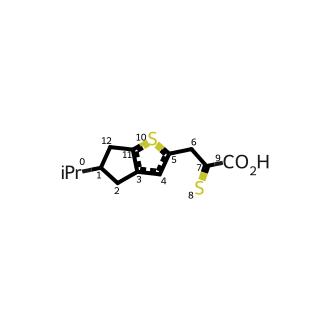 CC(C)C1Cc2cc(CC(=S)C(=O)O)sc2C1